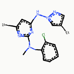 CCc1cnn(Nc2cc(CC)nc(N(C)c3ccccc3Cl)n2)c1